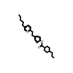 CCCCCc1ccc(CCc2ccc(OC(=O)C3CCC(CCC)CC3)cc2)nc1